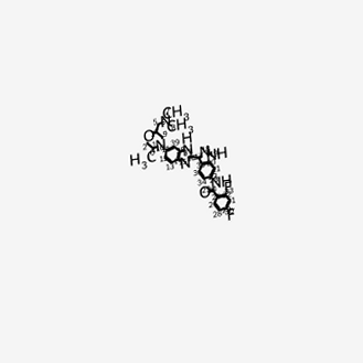 CC1COC(CN(C)C)CN1c1ccc2nc(-c3n[nH]c4cc(NC(=O)c5ccc(F)cc5F)ccc34)[nH]c2c1